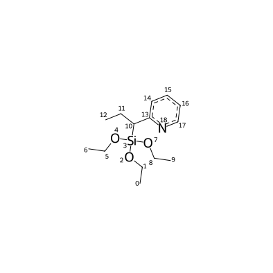 CCO[Si](OCC)(OCC)C(CC)c1ccccn1